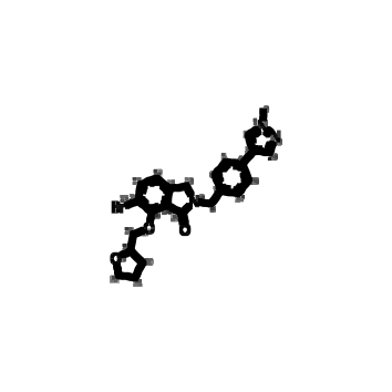 Cn1cc(-c2ccc(CN3Cc4ccc(Br)c(OCC5CCCO5)c4C3=O)cc2)cn1